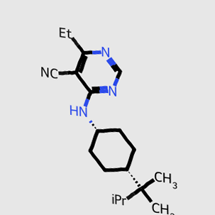 CCc1ncnc(N[C@H]2CC[C@@H](C(C)(C)C(C)C)CC2)c1C#N